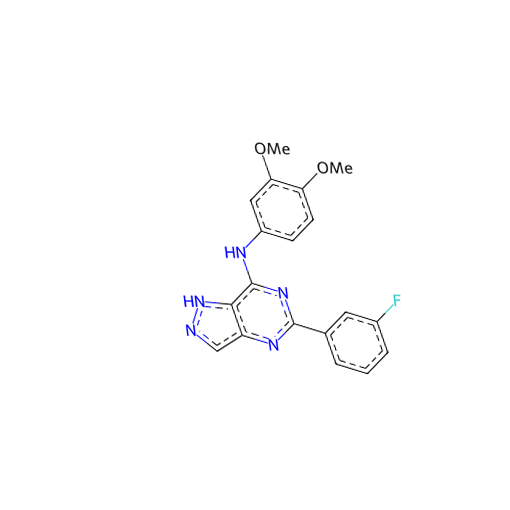 COc1ccc(Nc2nc(-c3cccc(F)c3)nc3cn[nH]c23)cc1OC